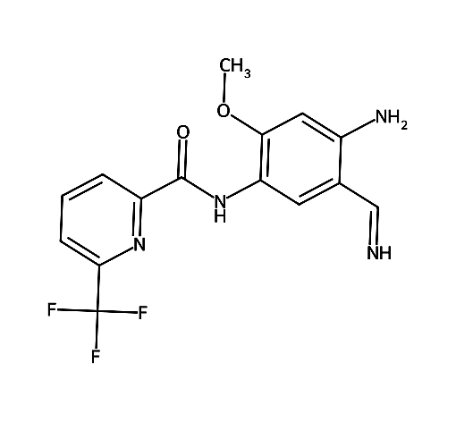 COc1cc(N)c(C=N)cc1NC(=O)c1cccc(C(F)(F)F)n1